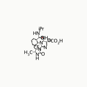 CC(C)CNC(=O)c1cccc(C(F)(F)F)c1N1C(N2CC(C)NC2=O)=NC=C(OC(=O)O)C1N